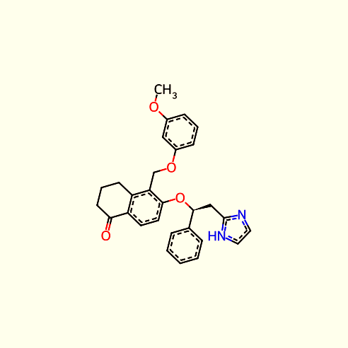 COc1cccc(OCc2c(O[C@@H](Cc3ncc[nH]3)c3ccccc3)ccc3c2CCCC3=O)c1